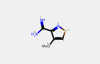 COc1csnc1C(=N)N